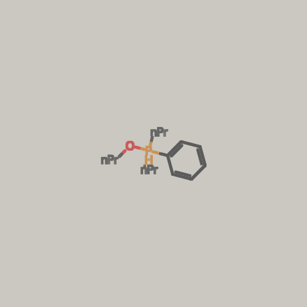 CCCO[PH](CCC)(CCC)c1ccccc1